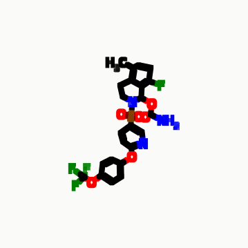 Cc1ccc(F)c2c1CCN(S(=O)(=O)c1ccc(Oc3ccc(OC(F)(F)F)cc3)nc1)C2OC(N)=O